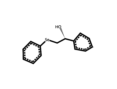 O[C@@H](C[Se]c1ccccc1)c1cc[c]cc1